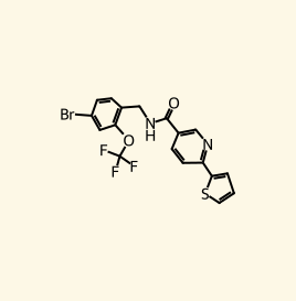 O=C(NCc1ccc(Br)cc1OC(F)(F)F)c1ccc(-c2cccs2)nc1